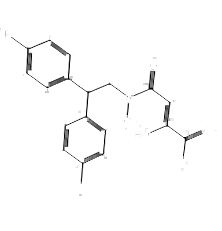 CN(CC(c1ccc(F)cc1)c1ccc(F)cc1)C(=O)/C=C(\O)C(=O)O